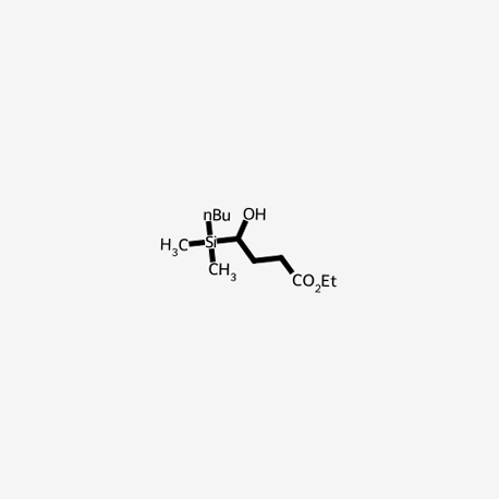 CCCC[Si](C)(C)C(O)CCC(=O)OCC